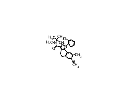 COc1cc2c(cc1C)-c1c(c(C(=O)N(C)C(C)(C)C)nn1-c1ccccc1Cl)CC2